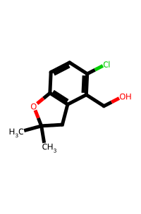 CC1(C)Cc2c(ccc(Cl)c2CO)O1